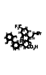 Cc1cccc(C)c1-c1cncc([C@H](CC(=O)O)NC(=O)[C@H](CCC(C)C)N2CCC(C(F)(F)F)CC2=O)c1